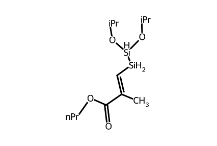 CCCOC(=O)C(C)=C[SiH2][SiH](OC(C)C)OC(C)C